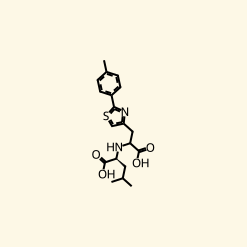 Cc1ccc(-c2nc(CC(N[C@@H](CC(C)C)C(=O)O)C(=O)O)cs2)cc1